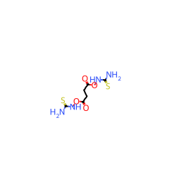 NC(=S)NOC(=O)CCC(=O)ONC(N)=S